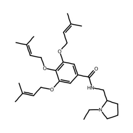 CCN1CCCC1CNC(=O)c1cc(OCC=C(C)C)c(OCC=C(C)C)c(OCC=C(C)C)c1